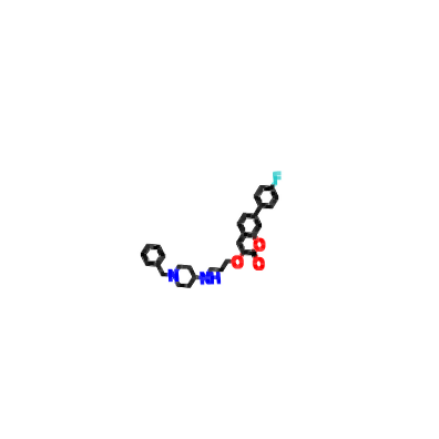 O=c1oc2cc(-c3ccc(F)cc3)ccc2cc1OCCCNC1CCN(Cc2ccccc2)CC1